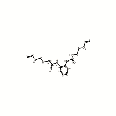 C=COCCNC(=O)Nc1ccccc1NC(=O)NCCOC=C